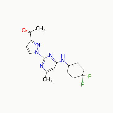 CC(=O)c1ccn(-c2nc(C)cc(NC3CCC(F)(F)CC3)n2)n1